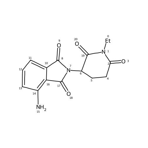 CCN1C(=O)CCC(N2C(=O)c3cccc(N)c3C2=O)C1=O